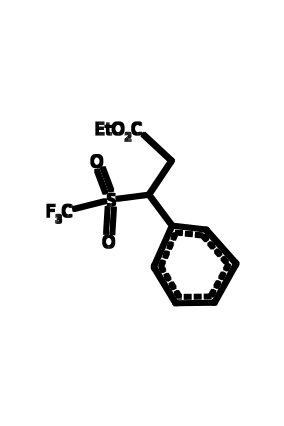 CCOC(=O)CC(c1ccccc1)S(=O)(=O)C(F)(F)F